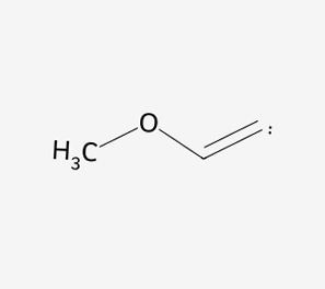 [C]=COC